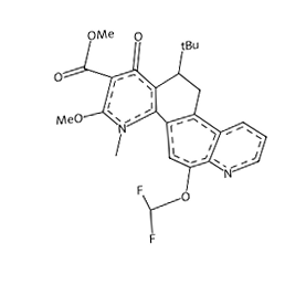 COC(=O)c1c(OC)n(C)c2c(c1=O)C(C(C)(C)C)Cc1c-2cc(OC(F)F)c2ncccc12